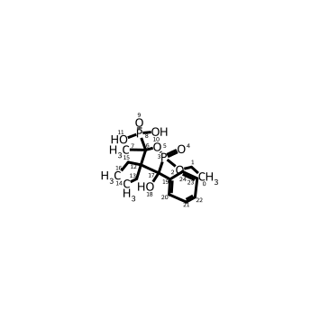 CCOP1(=O)OC(C)(P(=O)(O)O)C(CC)(CC)C1(O)c1ccccc1